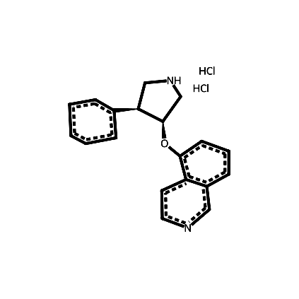 Cl.Cl.c1ccc([C@H]2CNC[C@H]2Oc2cccc3cnccc23)cc1